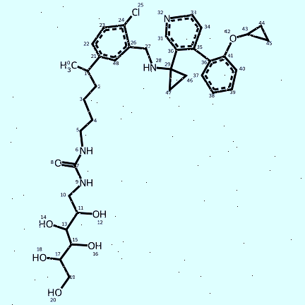 CC(CCCCNC(=O)NCC(O)C(O)C(O)C(O)CO)c1ccc(Cl)c(CNC2(c3cnccc3-c3ccccc3OC3CC3)CC2)c1